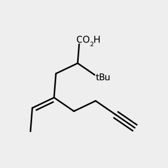 C#CCC/C(=C\C)CC(C(=O)O)C(C)(C)C